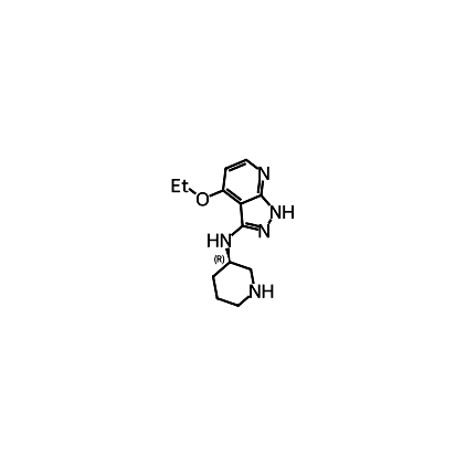 CCOc1ccnc2[nH]nc(N[C@@H]3CCCNC3)c12